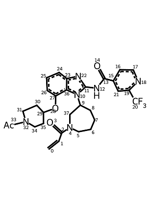 C=CC(=O)N1CCCCC(n2c(NC(=O)c3ccnc(C(F)(F)F)c3)nc3cccc(OC4CCN(C(C)=O)CC4)c32)C1